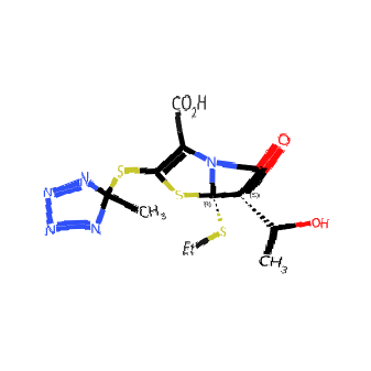 CCS[C@]12SC(SC3(C)N=NN=N3)=C(C(=O)O)N1C(=O)[C@@H]2C(C)O